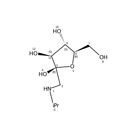 CC(C)NC[C@@]1(O)O[C@H](CO)[C@@H](O)[C@@H]1O